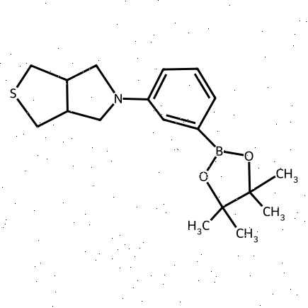 CC1(C)OB(c2cccc(N3CC4CSCC4C3)c2)OC1(C)C